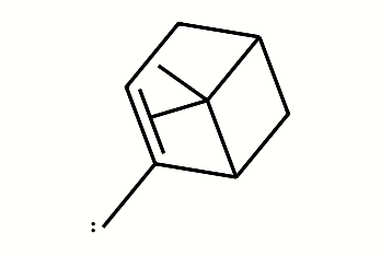 [CH]C1=CCC2CC1C2(C)C